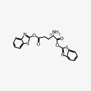 N[C@@H](CCC(=O)Oc1nc2ccccc2s1)C(=O)Oc1nc2ccccc2s1